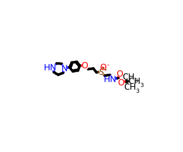 CC(C)(C)OC(=O)NCC[S+]([O-])CCCOc1ccc(N2CCCNCC2)cc1